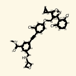 COC(=O)c1cc(C#Cc2ccc(OCc3c(-c4c(Cl)cccc4Cl)noc3C3CC3)cc2Cl)cc(CNC2COC2)c1